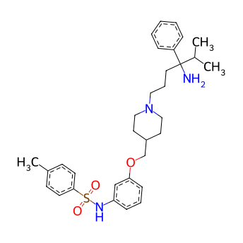 Cc1ccc(S(=O)(=O)Nc2cccc(OCC3CCN(CCCC(N)(c4ccccc4)C(C)C)CC3)c2)cc1